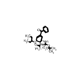 CCC(CC)O[C@@H]1C=C(C(=O)c2ccccc2)C[C@H](NC(=O)OC(C)(C)C)[C@H]1NC(C)=O